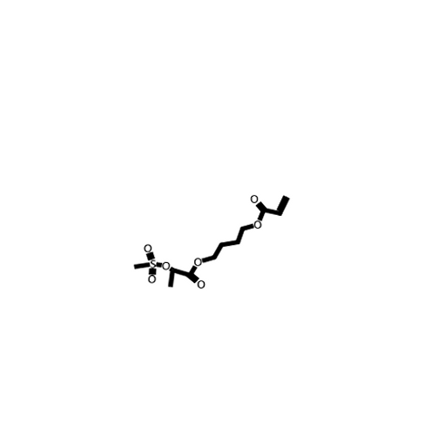 C=CC(=O)OCCCCOC(=O)C(C)OS(C)(=O)=O